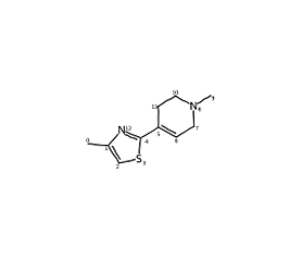 Cc1csc(C2=CCN(C)CC2)n1